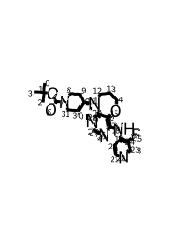 CC(C)(C)OC(=O)N1CCC(N2CCCOc3c(Nc4ccncc4F)ncnc32)CC1